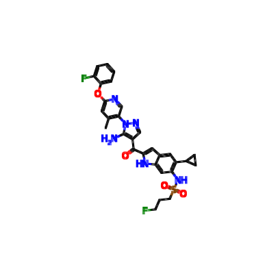 Cc1cc(Oc2ccccc2F)ncc1-n1ncc(C(=O)c2cc3cc(C4CC4)c(NS(=O)(=O)CCCF)cc3[nH]2)c1N